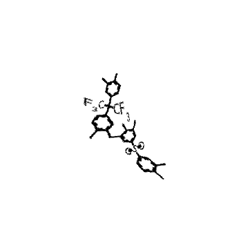 Cc1ccc(C(c2ccc(C)c(Cc3cc(S(=O)(=O)c4ccc(C)c(C)c4)cc(C)c3C)c2)(C(F)(F)F)C(F)(F)F)cc1C